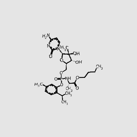 CCCCOC(=O)[C@H](C)NP(=O)(OC[C@H]1O[C@@H](n2ccc(N)nc2=O)[C@](C)(O)[C@@H]1O)Oc1cc(C)ccc1C(C)C